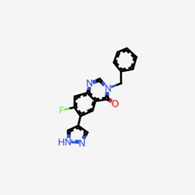 O=c1c2cc(-c3cn[nH]c3)c(F)cc2ncn1Cc1ccccc1